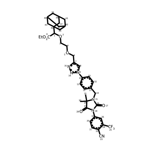 CCOC(=O)C(OCCOCc1cn(-c2ccc(CN3C(=O)N(c4ccc(C#N)c(C(F)(F)F)c4)C(=O)C3(C)C)cc2)nn1)C12CC3CC(CC(C3)C1)C2